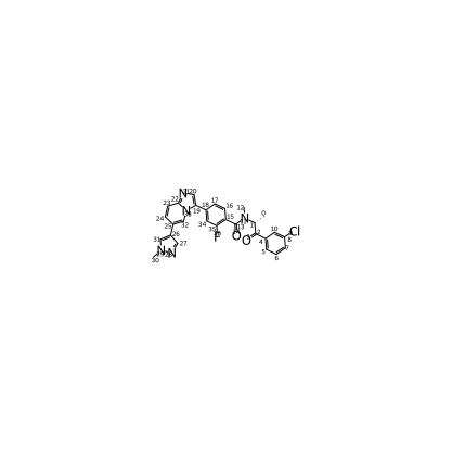 C[C@H](C(=O)c1cccc(Cl)c1)N(C)C(=O)c1ccc(-c2cnc3ccc(-c4cnn(C)c4)cn23)cc1F